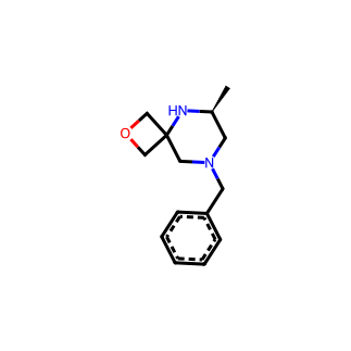 C[C@H]1CN(Cc2ccccc2)CC2(COC2)N1